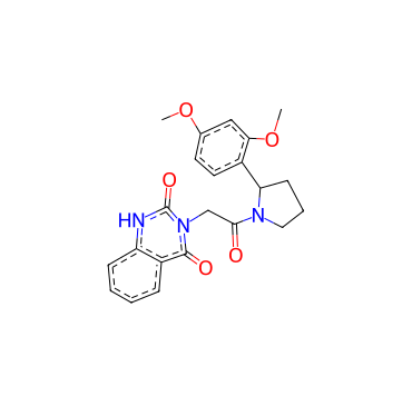 COc1ccc(C2CCCN2C(=O)Cn2c(=O)[nH]c3ccccc3c2=O)c(OC)c1